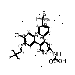 CC(C)(C)COc1cc(-c2cnc(NC(=O)O)nc2-c2ccc(C(F)(F)F)cc2)ccc1Cl